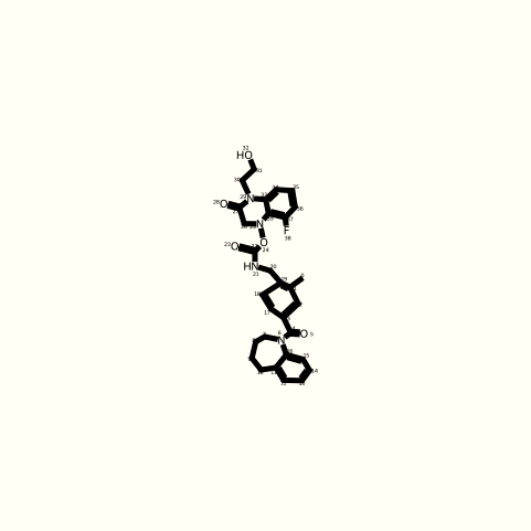 Cc1cc(C(=O)N2CCCCc3ccccc32)ccc1CNC(=O)ON1CC(=O)N(CCO)c2cccc(F)c21